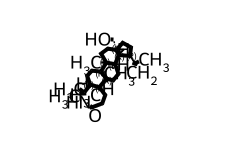 C=C(C)[C@@H]1CC[C@]2(CO)CC[C@]3(C)[C@H](CC[C@@H]4[C@@]5(C)CCC(=O)NC(C)(C)[C@@H]5CC[C@]43C)[C@@H]12